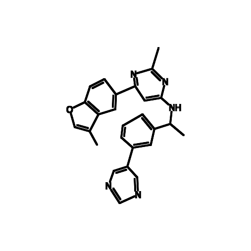 Cc1nc(NC(C)c2cccc(-c3cncnc3)c2)cc(-c2ccc3occ(C)c3c2)n1